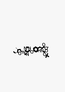 CC[C@H]1O[C@@H](n2cnc3c(Oc4ccc(CC(NC(=O)OC(C)(C)C)C(=O)OC)cc4)ncnc32)C[C@H]1C